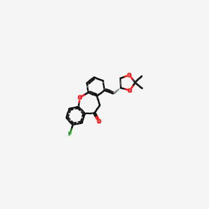 CC1(C)OC[C@@H](C=C2CC=CC3=C2CC(=O)c2cc(F)ccc2O3)O1